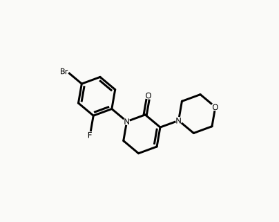 O=C1C(N2CCOCC2)=CCCN1c1ccc(Br)cc1F